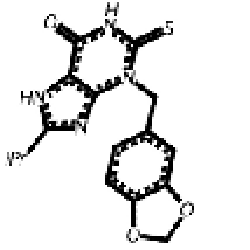 CC(C)c1nc2c([nH]1)c(=O)[nH]c(=S)n2Cc1ccc2c(c1)OCO2